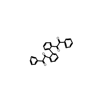 O=C(C(=O)c1ccccc1-c1ccccc1C(=O)C(=O)c1ccccc1)c1ccccc1